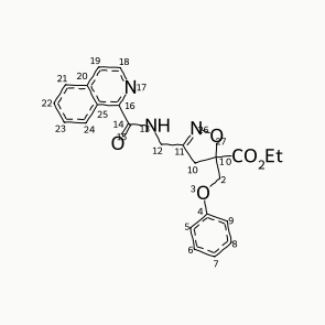 CCOC(=O)C1(COc2ccccc2)CC(CNC(=O)c2nccc3ccccc23)=NO1